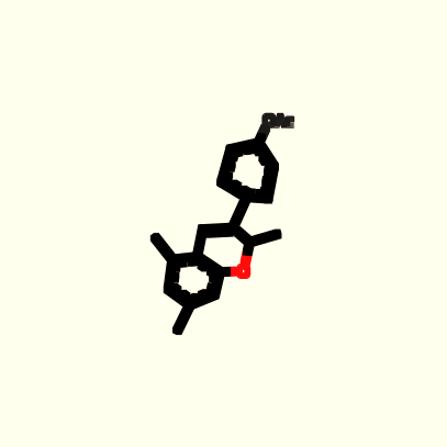 CC(=O)Oc1ccc(C2=Cc3c(C)cc(C)cc3OC2C)cc1